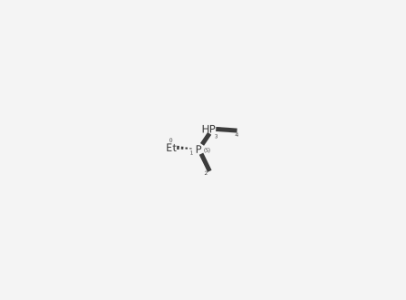 CC[P@@](C)PC